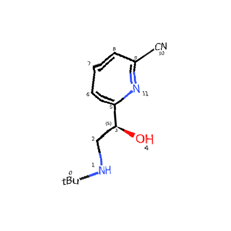 CC(C)(C)NC[C@H](O)c1cccc(C#N)n1